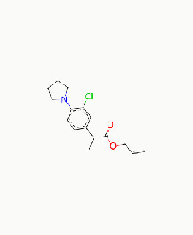 C=CCOC(=O)C(C)c1ccc(N2CCCC2)c(Cl)c1